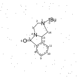 CC(C)(C)N1CCN2C(=O)c3ccccc3C2C1